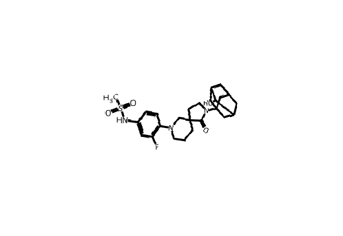 CS(=O)(=O)Nc1ccc(N2CCCC3(CCN(C45CC6CC(C4)C(O)C(C6)C5)C3=O)C2)c(F)c1